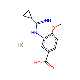 COc1ccc(C(=O)O)cc1NC(=N)C1CC1.Cl